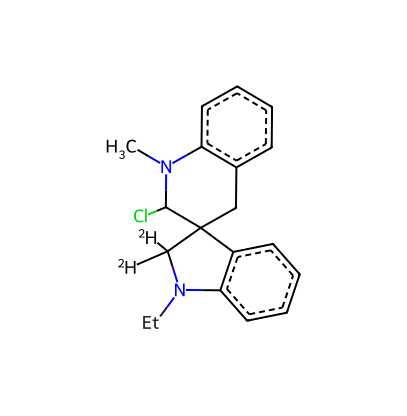 [2H]C1([2H])N(CC)c2ccccc2C12Cc1ccccc1N(C)C2Cl